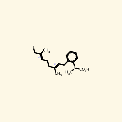 C/C(=C\CC/C(C)=C/Cc1ccccc1N(C)C(=O)O)CI